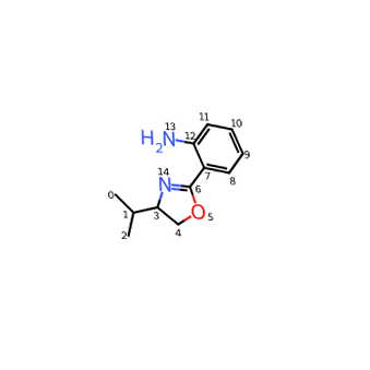 CC(C)C1COC(c2ccccc2N)=N1